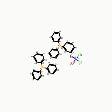 [O-][N+](Cl)(Cl)[Ir].c1ccc(P(c2ccccc2)c2ccccc2)cc1.c1ccc(P(c2ccccc2)c2ccccc2)cc1